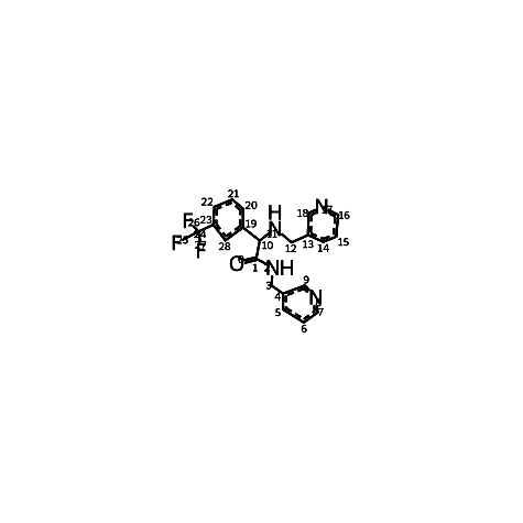 O=C(NCc1cccnc1)C(NCc1cccnc1)c1cccc(C(F)(F)F)c1